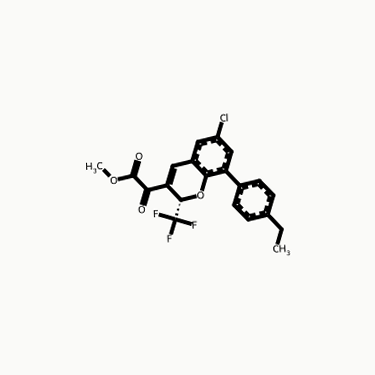 CCc1ccc(-c2cc(Cl)cc3c2O[C@H](C(F)(F)F)C(C(=O)C(=O)OC)=C3)cc1